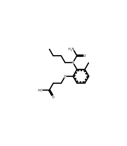 CCCCN(C(N)=O)c1c(C)cccc1OCCC(=O)O